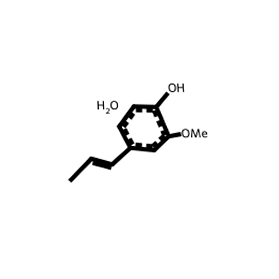 CC=Cc1ccc(O)c(OC)c1.O